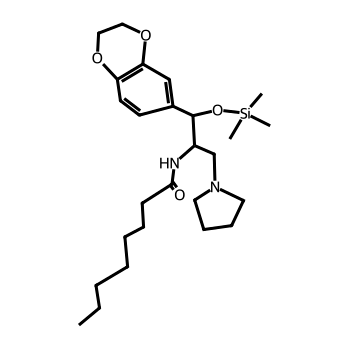 CCCCCCCC(=O)NC(CN1CCCC1)C(O[Si](C)(C)C)c1ccc2c(c1)OCCO2